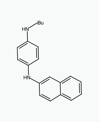 CCC(C)Nc1ccc(Nc2ccc3ccccc3c2)cc1